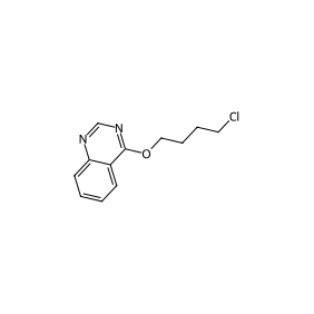 ClCCCCOc1ncnc2ccccc12